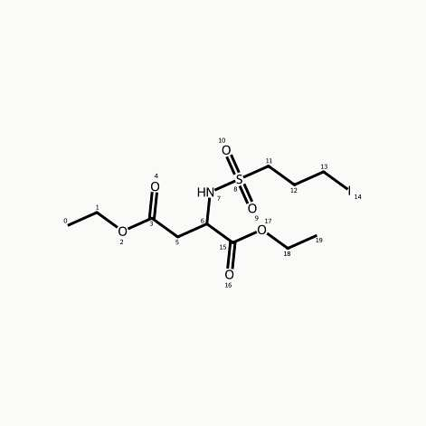 CCOC(=O)CC(NS(=O)(=O)CCCI)C(=O)OCC